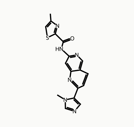 Cc1csc(C(=O)Nc2cc3nc(-c4cncn4C)ccc3cn2)n1